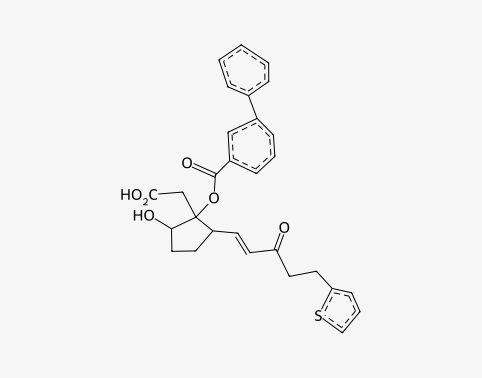 O=C(O)CC1(OC(=O)c2cccc(-c3ccccc3)c2)C(O)CCC1C=CC(=O)CCc1cccs1